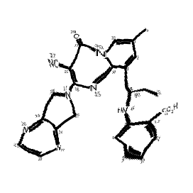 Cc1cc([C@@H](C)Nc2ccccc2C(=O)O)c2nc(N3Cc4nccnc4C3)c(C#N)c(=O)n2c1